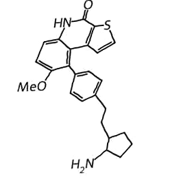 COc1ccc2[nH]c(=O)c3sccc3c2c1-c1ccc(CCC2CCCC2N)cc1